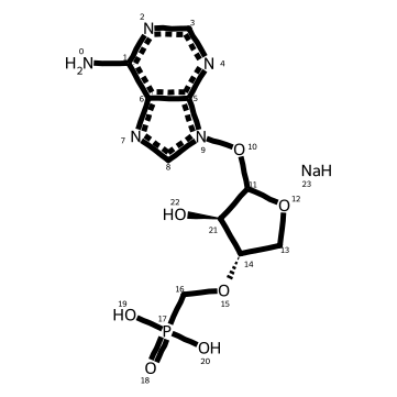 Nc1ncnc2c1ncn2OC1OC[C@H](OCP(=O)(O)O)[C@H]1O.[NaH]